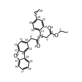 CCOC(=O)CN(C(=O)Cc1ccc2oc3ccccc3c2c1)c1ccc(SC)cc1